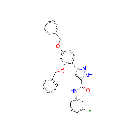 O=C(Nc1cccc(F)c1)c1cc(-c2ccc(OCc3ccccc3)cc2OCc2ccccc2)n[nH]1